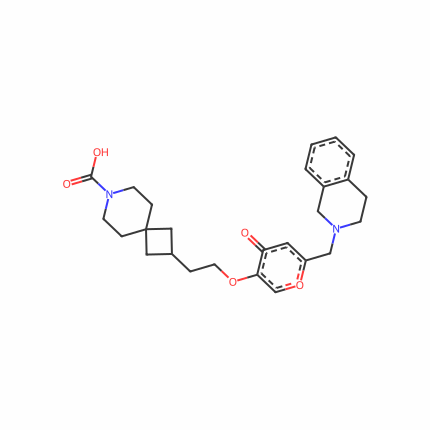 O=C(O)N1CCC2(CC1)CC(CCOc1coc(CN3CCc4ccccc4C3)cc1=O)C2